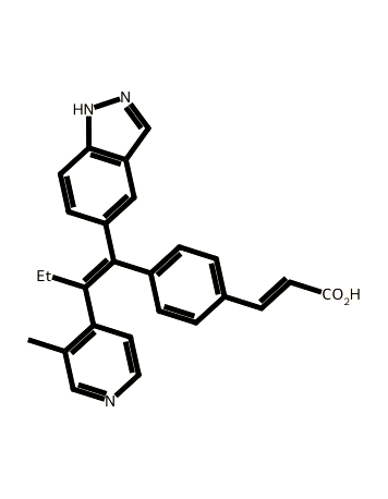 CC/C(=C(/c1ccc(/C=C/C(=O)O)cc1)c1ccc2[nH]ncc2c1)c1ccncc1C